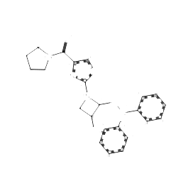 CC(C)(C)C1CN(c2nc(C(=O)N3CCCC3)cs2)C1O[SiH](c1ccccc1)c1ccccc1